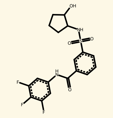 O=C(Nc1cc(F)c(F)c(F)c1)c1cccc(S(=O)(=O)NC2CCCC2O)c1